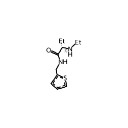 CCN[C@@H](CC)C(=O)NCc1cccs1